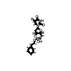 O=c1[nH]c(=O)n([C@H]2C[C@@H]3O[PH](O)(OCCc4ccccc4)OC[C@H]3O2)cc1F